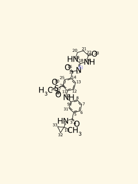 CC1(NC(=O)c2cccc(Nc3ccc(C(=O)/N=C4\NCCC(=O)N4)cc3S(C)(=O)=O)c2)CC1